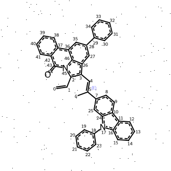 C=Cc1c(/C=C(\C)c2ccc3c4ccccc4n(-c4ccccc4)c3c2)c2cc(-c3ccccc3)cc3c4ccccc4c(=O)n1c23